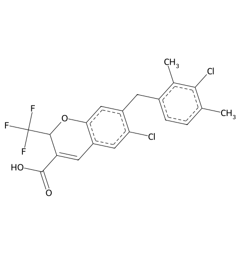 Cc1ccc(Cc2cc3c(cc2Cl)C=C(C(=O)O)C(C(F)(F)F)O3)c(C)c1Cl